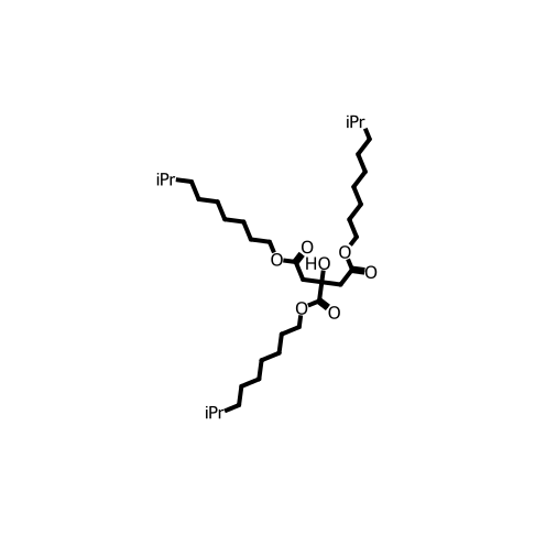 CC(C)CCCCCCCOC(=O)CC(O)(CC(=O)OCCCCCCCC(C)C)C(=O)OCCCCCCCC(C)C